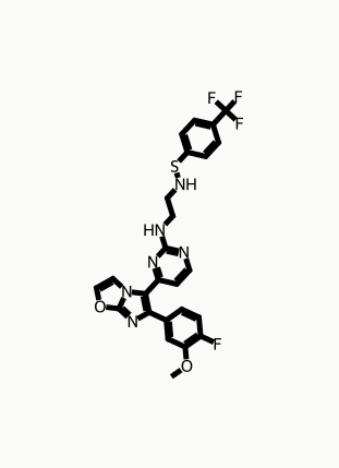 COc1cc(-c2nc3occn3c2-c2ccnc(NCCNSc3ccc(C(F)(F)F)cc3)n2)ccc1F